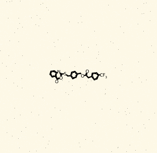 O=C(Cc1ccc(C(F)(F)F)cc1)OCc1ccc(CSc2nc3ccccc3c(=O)o2)cc1